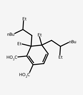 CCCCC(CC)CC1(CC)C=CC(C(=O)O)=C(C(=O)O)C1(CC)CC(CC)CCCC